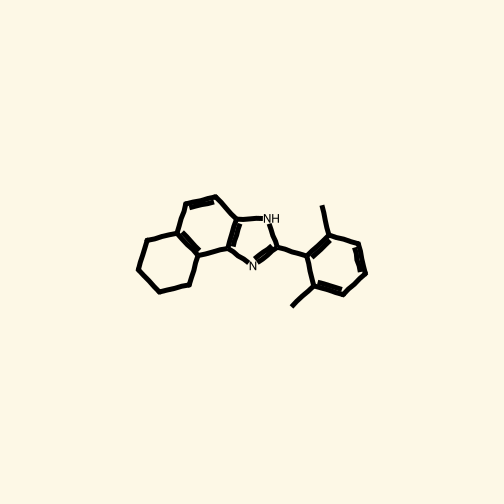 Cc1cccc(C)c1-c1nc2c3c(ccc2[nH]1)CCCC3